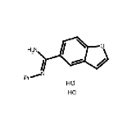 CC(C)N=C(N)c1ccc2occc2c1.Cl.Cl